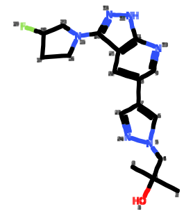 CC(C)(O)Cn1cc(-c2cnc3[nH]nc(N4CCC(F)C4)c3c2)cn1